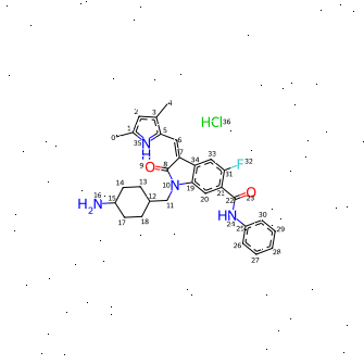 Cc1cc(C)c(/C=C2\C(=O)N(CC3CCC(N)CC3)c3cc(C(=O)Nc4ccccc4)c(F)cc32)[nH]1.Cl